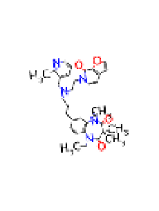 CCN1C(=O)C(C)(C)C(=O)N(C)c2cc(CCCN(CCn3ccc4ccoc4c3=O)Cc3cccnc3C)ccc21